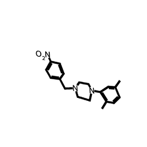 Cc1ccc(C)c(N2CCN(Cc3ccc([N+](=O)[O-])cc3)CC2)c1